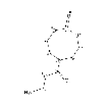 CCOC(=O)N1CCOC(=O)OCC1